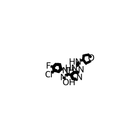 O/N=C(/Nc1ccc(F)c(Cl)c1)c1ccnc2nc(NC3CCOCC3)[nH]c12